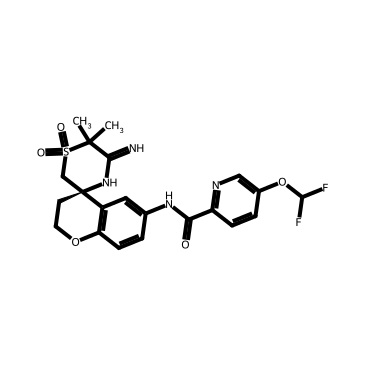 CC1(C)C(=N)N[C@@]2(CCOc3ccc(NC(=O)c4ccc(OC(F)F)cn4)cc32)CS1(=O)=O